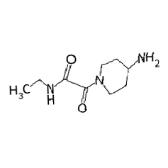 CCNC(=O)C(=O)N1CCC(N)CC1